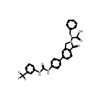 O=C(Nc1ccc(-c2ccc3c(c2)CN([C@@H](Cc2ccccc2)C(=O)O)C3=O)cc1)Nc1cccc(C(F)(F)F)c1